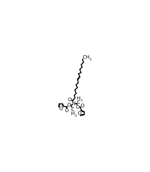 CCCCCCCCC=CCCCCCCCC(=O)N(C(C)OC(=O)c1ccco1)C(C)OC(=O)c1ccco1